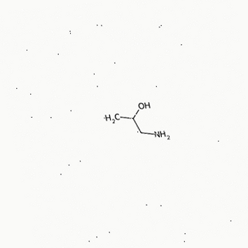 [CH2]C(O)CN